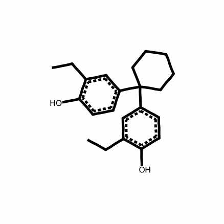 CCc1cc(C2(c3ccc(O)c(CC)c3)CCCCC2)ccc1O